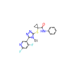 CCn1c(SC2(C(=O)Nc3ccccc3)CC2)nnc1-c1cnc(F)cc1F